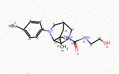 CCCCc1ccc(N2CC3CN(C(=O)NCCO)CC2C(C)(C)C3)cc1